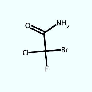 NC(=O)C(F)(Cl)Br